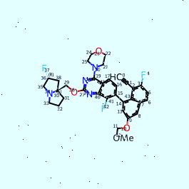 C#Cc1c(F)ccc2cc(OCOC)cc(-c3ccc4c(N5CCOCC5)nc(OC[C@@]56CCCN5C[C@H](F)C6)nc4c3F)c12